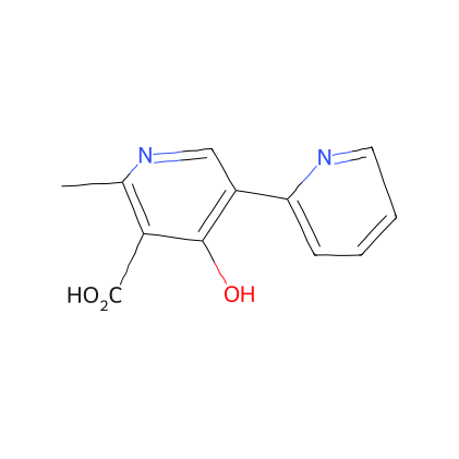 Cc1ncc(-c2ccccn2)c(O)c1C(=O)O